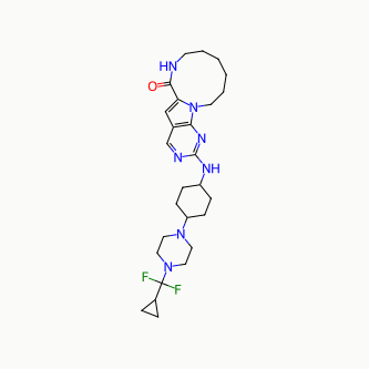 O=C1NCCCCCCn2c1cc1cnc(NC3CCC(N4CCN(C(F)(F)C5CC5)CC4)CC3)nc12